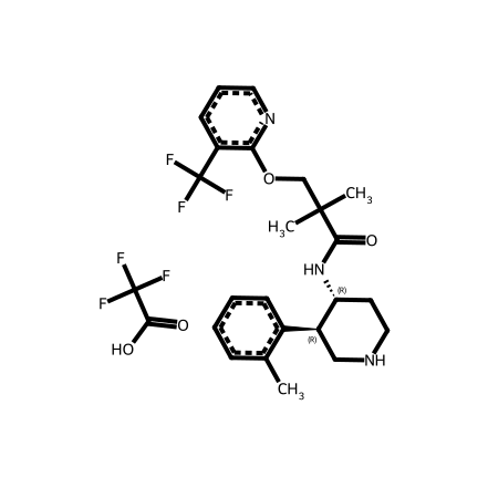 Cc1ccccc1[C@@H]1CNCC[C@H]1NC(=O)C(C)(C)COc1ncccc1C(F)(F)F.O=C(O)C(F)(F)F